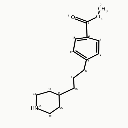 COC(=O)c1ccc(CCCC2CCNCC2)cc1